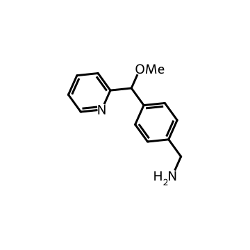 COC(c1ccc(CN)cc1)c1ccccn1